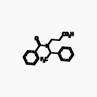 O=C(O)CCN(C(=O)c1ccccc1)C(c1ccccc1)C(F)(F)F